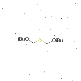 CC(C)COCSCOCC(C)C